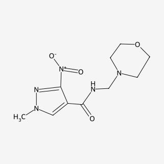 Cn1cc(C(=O)NCN2CCOCC2)c([N+](=O)[O-])n1